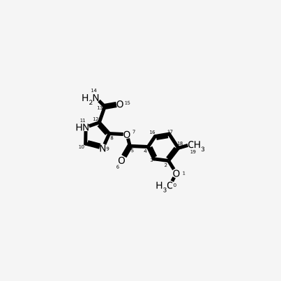 COc1cc(C(=O)Oc2nc[nH]c2C(N)=O)ccc1C